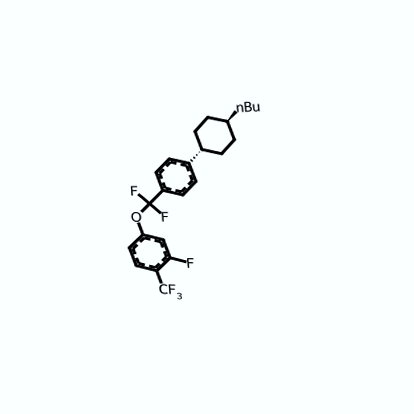 CCCC[C@H]1CC[C@H](c2ccc(C(F)(F)Oc3ccc(C(F)(F)F)c(F)c3)cc2)CC1